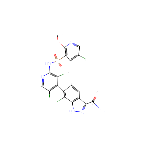 COc1ncc(F)cc1S(=O)(=O)Nc1ncc(F)c(-c2ccc3c(C(N)=O)n[nH]c3c2F)c1F